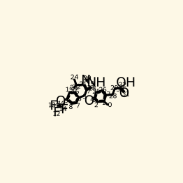 Cc1cc(OC(c2ccc(OC(F)(F)F)cc2)c2c[nH]nc2C(C)C)ccc1CCC(=O)O